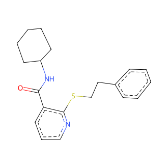 O=C(NC1CCCCC1)c1cccnc1SCCc1ccccc1